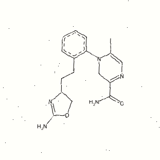 CC1=CN=C(C(N)=O)CN1c1ccccc1CCC1COC(N)=N1